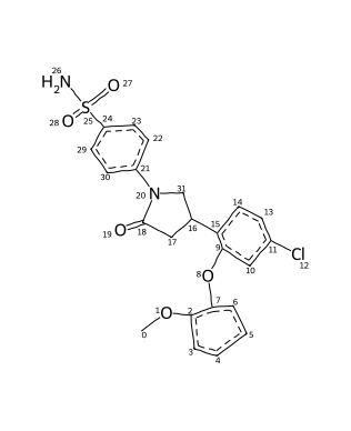 COc1ccccc1Oc1cc(Cl)ccc1C1CC(=O)N(c2ccc(S(N)(=O)=O)cc2)C1